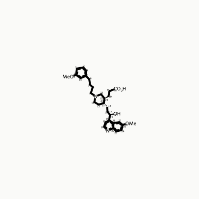 COc1cccc(CCCCN2CC[C@@H](CC[C@@H](O)c3ccnc4ccc(OC)cc34)[C@H](CCC(=O)O)C2)c1